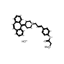 COCC(=O)Oc1ccc(C=CCN2CCC(=C3c4ccccc4C=Cc4ccccc43)CC2)cc1.Cl